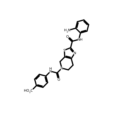 Nc1ccccc1NC(=O)c1nc2c(s1)CN(C(=O)Nc1ccc(C(=O)O)cc1)CC2